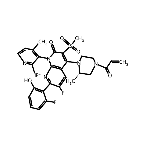 C=CC(=O)N1CCN(c2c(S(C)(=O)=O)c(=O)n(-c3c(C)ccnc3C(C)C)c3nc(-c4c(O)cccc4F)c(F)cc23)[C@@H](C)C1